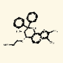 COCCO[C@H]1c2ccn3c(C)c(C)nc3c2NC(c2ccccc2)(c2ccccc2)[C@H]1O